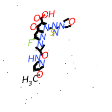 COc1ccc(NC(=O)C2CN(c3nc4c(cc3F)c(=O)c(C(=O)O)cn4-c3nc(N4CCOCC4)ns3)C2)nc1